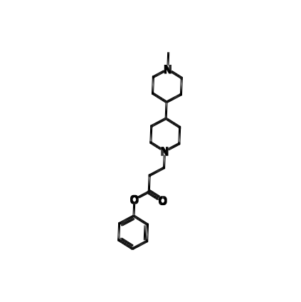 CN1CCC(C2CCN(CCC(=O)Oc3ccccc3)CC2)CC1